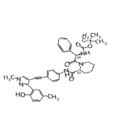 Cc1ccc(O)c(-c2nn(C)cc2C#Cc2ccc(NC(=O)[C@@H]3CCCCN3C(=O)[C@H](NC(=O)OC(C)(C)C)c3ccccc3)cc2)c1